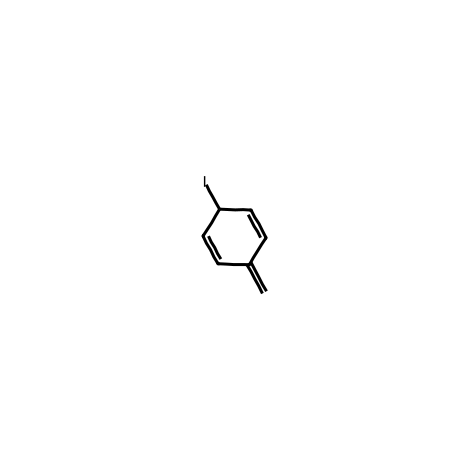 C=C1C=CC(I)C=C1